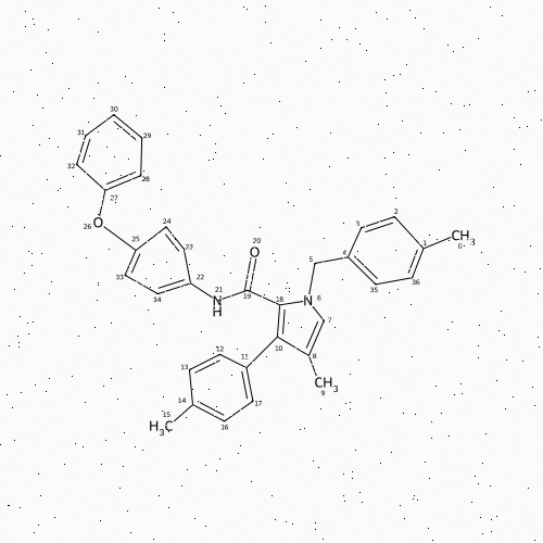 Cc1ccc(Cn2cc(C)c(-c3ccc(C)cc3)c2C(=O)Nc2ccc(Oc3ccccc3)cc2)cc1